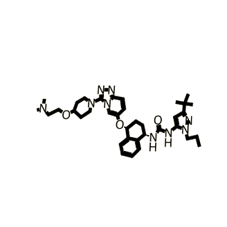 CCCn1nc(C(C)(C)C)cc1NC(=O)N[C@H]1CC[C@@H](Oc2ccc3nnc(N4CCC(OCCN(C)C)CC4)n3c2)c2ccccc21